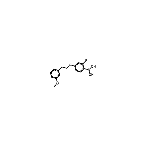 COc1cccc(CCOc2ccc(B(O)O)c(F)c2)c1